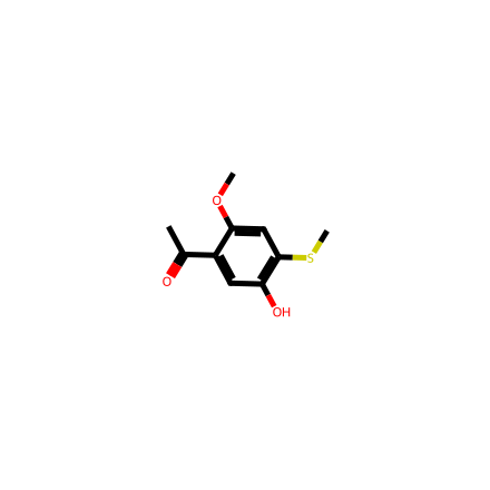 COc1cc(SC)c(O)cc1C(C)=O